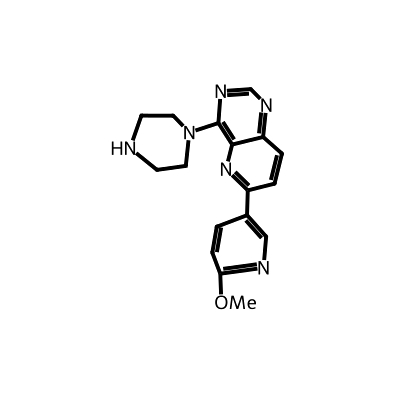 COc1ccc(-c2ccc3ncnc(N4CCNCC4)c3n2)cn1